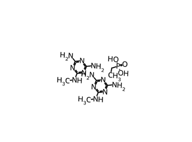 CCP(=O)(O)O.CNc1nc(N)nc(N)n1.CNc1nc(N)nc(N)n1